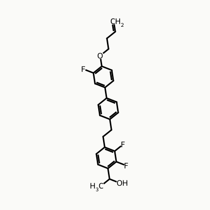 C=CCCOc1ccc(-c2ccc(CCc3ccc(C(C)O)c(F)c3F)cc2)cc1F